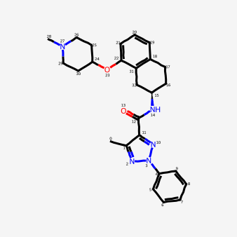 Cc1nn(-c2ccccc2)nc1C(=O)N[C@@H]1CCc2cccc(OC3CCN(C)CC3)c2C1